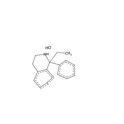 CCC1(c2ccccc2)NCCc2ccccc21.Cl